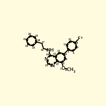 COc1cc(-c2ccc(F)cc2)cc2c(NCCc3ccccc3)ncnc12